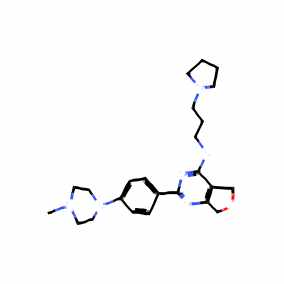 CN1CCN(c2ccc(-c3nc4c(c(NCCCN5CCCC5)n3)COC4)cc2)CC1